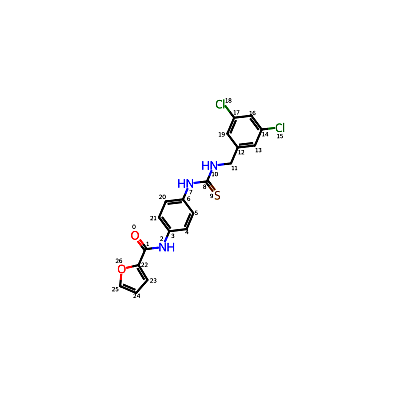 O=C(Nc1ccc(NC(=S)NCc2cc(Cl)cc(Cl)c2)cc1)c1ccco1